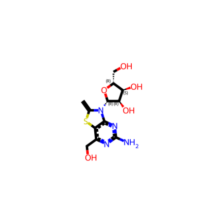 C=C1Sc2c(CO)nc(N)nc2N1[C@@H]1O[C@H](CO)[C@@H](O)[C@H]1O